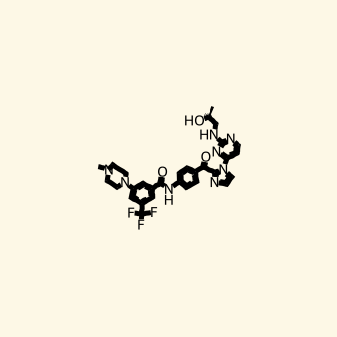 C[C@H](O)CNc1nccc(-n2ccnc2C(=O)c2ccc(NC(=O)c3cc(N4CCN(C)CC4)cc(C(F)(F)F)c3)cc2)n1